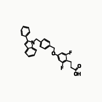 O=C(O)CCc1c(F)cc(OCc2ccc(Cn3c(-c4ccccc4)cc4ccccc43)cc2)cc1F